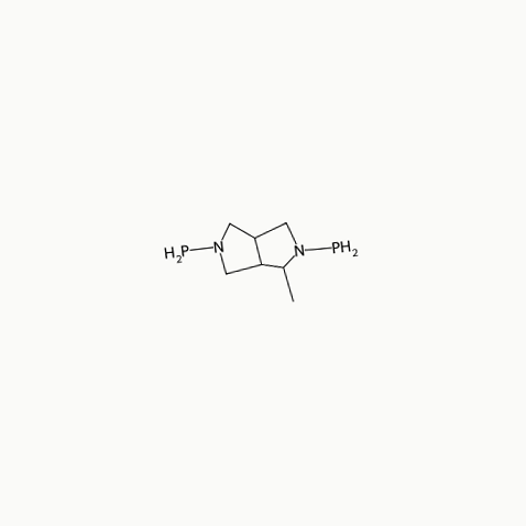 CC1C2CN(P)CC2CN1P